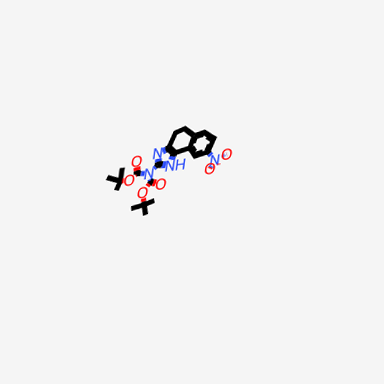 CC(C)(C)OC(=O)N(C(=O)OC(C)(C)C)c1nc2c([nH]1)-c1cc([N+](=O)[O-])ccc1CC2